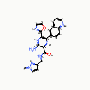 Cn1ccc(CNC(=O)c2nc(-c3ccc4ncccc4c3)c(-c3ncco3)nc2N)n1